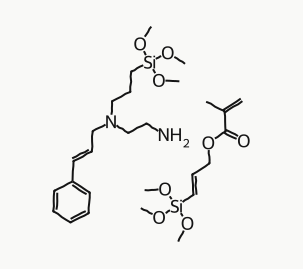 C=C(C)C(=O)OCC=C[Si](OC)(OC)OC.CO[Si](CCCN(CC=Cc1ccccc1)CCN)(OC)OC